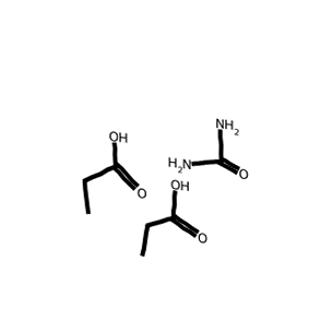 CCC(=O)O.CCC(=O)O.NC(N)=O